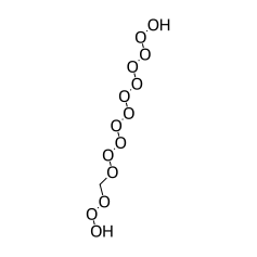 OOOCOOOOOOOOOOO